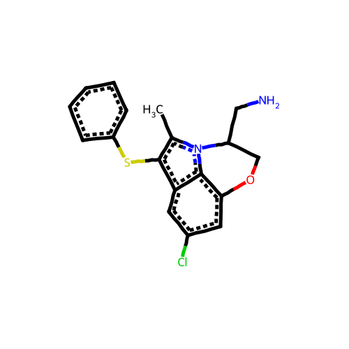 Cc1c(Sc2ccccc2)c2cc(Cl)cc3c2n1C(CN)CO3